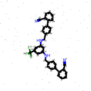 N#Cc1ccccc1-c1ccc(CNc2cc(NCc3ccc(-c4ccccc4C#N)cc3)cc(C(F)(F)F)c2)cc1